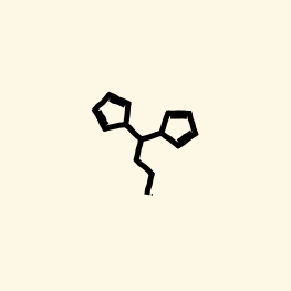 [CH2]CCC(C1C=CC=C1)C1C=CC=C1